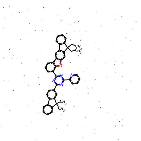 CCC1(CC)c2ccccc2-c2cc3c(cc21)oc1c(-c2nc(-c4ccc5c(c4)C(C)(C)c4ccccc4-5)nc(-c4ccccn4)n2)cccc13